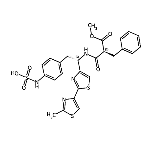 COC(=O)[C@@H](Cc1ccccc1)C(=O)N[C@@H](Cc1ccc(NS(=O)(=O)O)cc1)c1csc(-c2csc(C)n2)n1